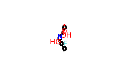 OC(COc1ccccc1)CN1CCC(O)(c2ccc(-c3ccccc3)c(F)c2)CC1